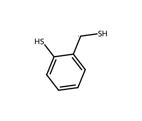 S[CH]c1ccccc1S